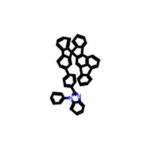 c1ccc(-n2c(-c3ccc(-c4ccc5c(c4)C4(c6ccccc6-5)c5ccccc5-c5c4cc4c6c(cccc56)-c5ccccc5-4)cc3)nc3ccccc32)cc1